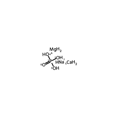 O=P(O)(O)O.[CaH2].[MgH2].[NaH]